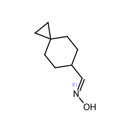 O/N=C/C1CCC2(CC1)CC2